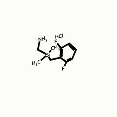 C[Si](C)(CN)Cc1c(F)cccc1F.Cl